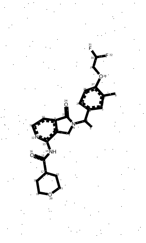 Cc1cc(C(C)N2Cc3c(ccnc3NC(=O)C3CCOCC3)C2=O)ccc1OCC(F)F